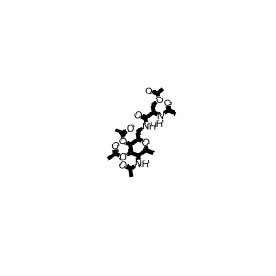 CC(=O)NC(COC(C)=O)C(=O)NCC1OC(C)C(NC(C)=O)C(OC(C)=O)C1OC(C)=O